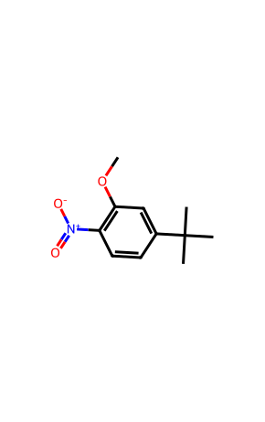 COc1cc(C(C)(C)C)ccc1[N+](=O)[O-]